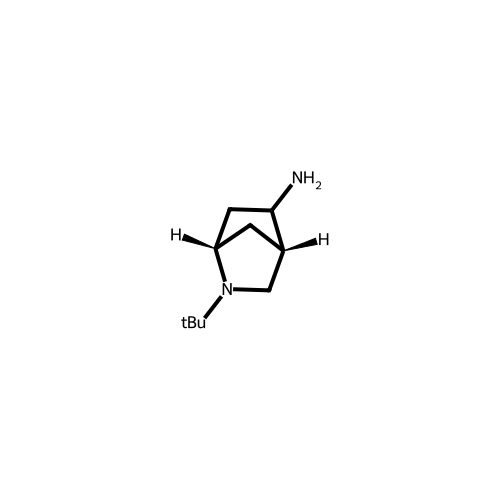 CC(C)(C)N1C[C@@H]2C[C@H]1CC2N